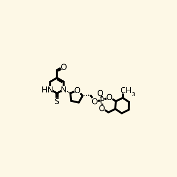 CC1CCCC2COP(=O)(OC[C@@H]3CC[C@H](N4C=C(C=O)CNC4=S)O3)OC12